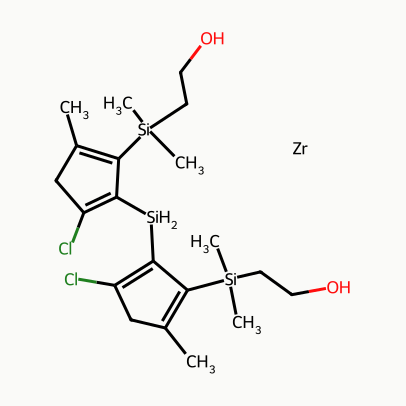 CC1=C([Si](C)(C)CCO)C([SiH2]C2=C(Cl)CC(C)=C2[Si](C)(C)CCO)=C(Cl)C1.[Zr]